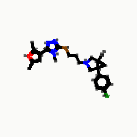 Cc1cc(-c2nnc(SCCCN3C[C@@H]4C[C@]4(c4ccc(Br)cc4)C3)n2C)c(C)o1